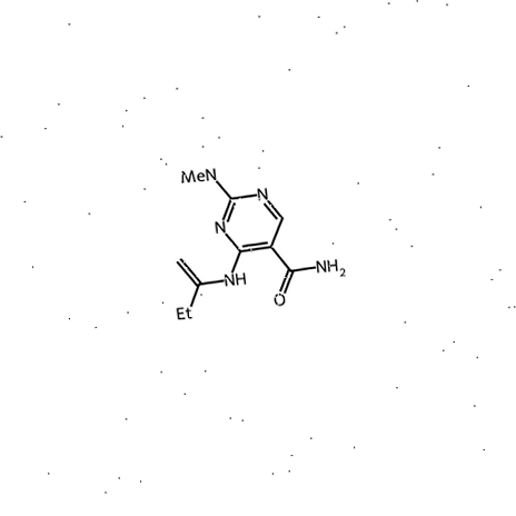 C=C(CC)Nc1nc(NC)ncc1C(N)=O